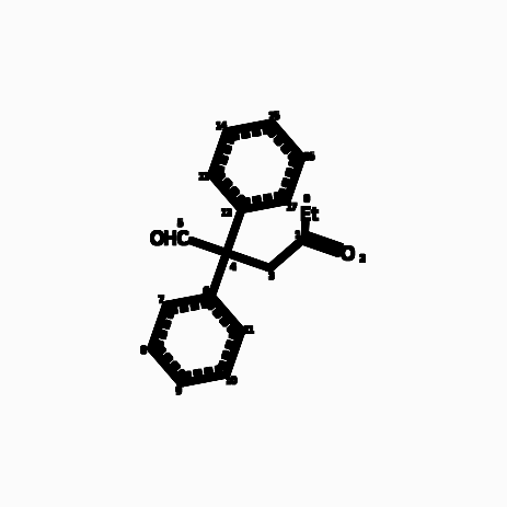 CCC(=O)CC(C=O)(c1ccccc1)c1ccccc1